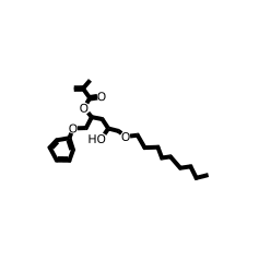 C=C(C)C(=O)OC(COc1ccccc1)CC(O)COCCCCCCCCC